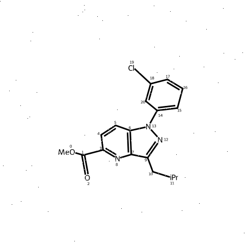 COC(=O)c1ccc2c(n1)c(CC(C)C)nn2-c1cccc(Cl)c1